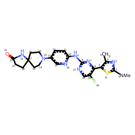 CNc1nc(C)c(-c2nc(Nc3ccc(N4CCC5(CCC(=O)N5)CC4)cn3)ncc2F)s1